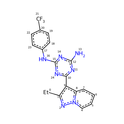 CCc1nn2ccccc2c1-c1nc(N)nc(Nc2ccc(C(F)(F)F)cc2)n1